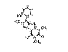 Cc1cn2c3c(=O)n(C)c(=O)n(C)c3nc2n1-c1ccccc1O